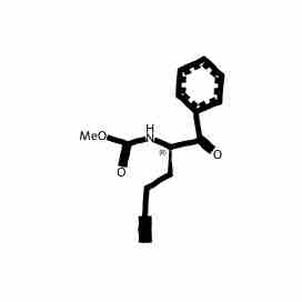 C#CCC[C@@H](NC(=O)OC)C(=O)c1ccccc1